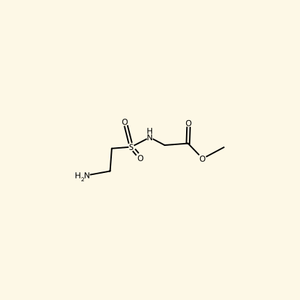 COC(=O)CNS(=O)(=O)CCN